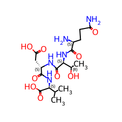 CC(C)[C@H](NC(=O)[C@H](CC(=O)O)NC(=O)[C@@H](NC(=O)[C@@H](N)CCC(N)=O)[C@@H](C)O)C(=O)O